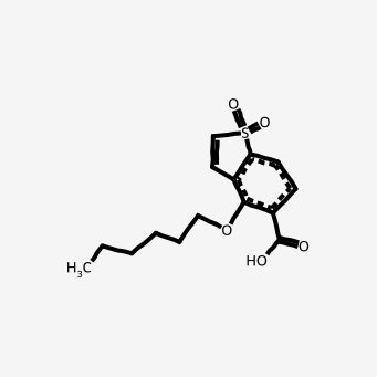 CCCCCCOc1c(C(=O)O)ccc2c1C=CS2(=O)=O